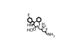 Cl.NC[C@H](F)C[C@H](N)CN1Cc2ccccc2-c2c([nH]c3ccc(F)cc23)C1=O